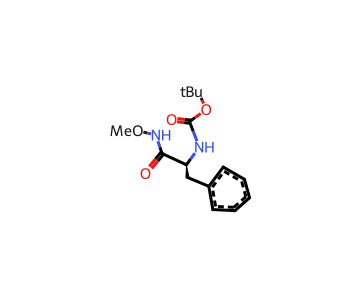 CONC(=O)[C@H](Cc1ccccc1)NC(=O)OC(C)(C)C